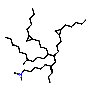 CC/C=C(\CCCCCN(C)C)CC(CCCC1CC1CCCCC)C(CCCC(C)CCCCCC)CCCC1CC1CCCCC